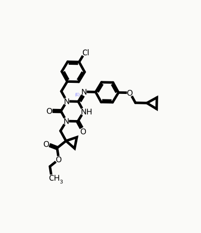 CCOC(=O)C1(Cn2c(=O)[nH]/c(=N\c3ccc(OCC4CC4)cc3)n(Cc3ccc(Cl)cc3)c2=O)CC1